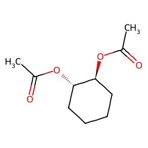 CC(=O)O[C@H]1CCCC[C@@H]1OC(C)=O